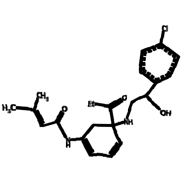 CCC(=O)C1(NCC(O)c2ccc(Cl)cc2)C=CC=C(NC(=O)C=C(C)C)C1